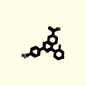 CCC(=O)N1CCc2c(nc(-c3ccc(N)cc3)nc2N2CCOC[C@@H]2C)C1